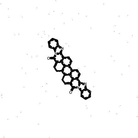 O=c1c2c3c(ccc4c5ccc6c7c(c(=O)n8c9ccccc9nc68)=CCc(c(c43)CC=2)c57)c2nc3ccccc3n12